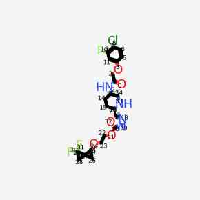 O=C(COc1ccc(Cl)c(F)c1)NC1CC[C@H](c2nnc(OCCO[C@@H]3CC34CC4(F)F)o2)NC1